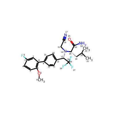 COc1ccc(F)cc1-c1ccc([C@H](N(CC#N)[C@@H](CC(C)C)C(N)=O)C(F)(F)F)cc1